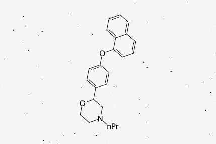 CCCN1CCOC(c2ccc(Oc3cccc4ccccc34)cc2)C1